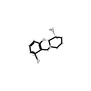 O[C@@H]1CCCN(Cc2c(Cl)cccc2Cl)C1